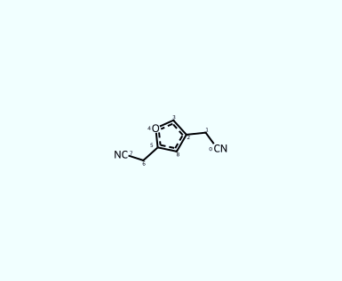 N#CCc1coc(CC#N)c1